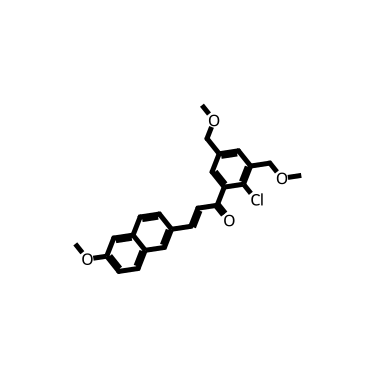 COCc1cc(COC)c(Cl)c(C(=O)/C=C/c2ccc3cc(OC)ccc3c2)c1